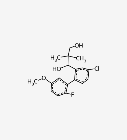 COc1ccc(F)c(-c2ccc(Cl)cc2C(O)C(C)(C)CO)c1